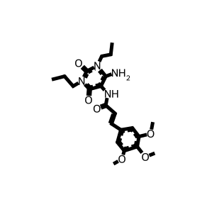 CCCn1c(N)c(NC(=O)/C=C/c2cc(OC)c(OC)c(OC)c2)c(=O)n(CCC)c1=O